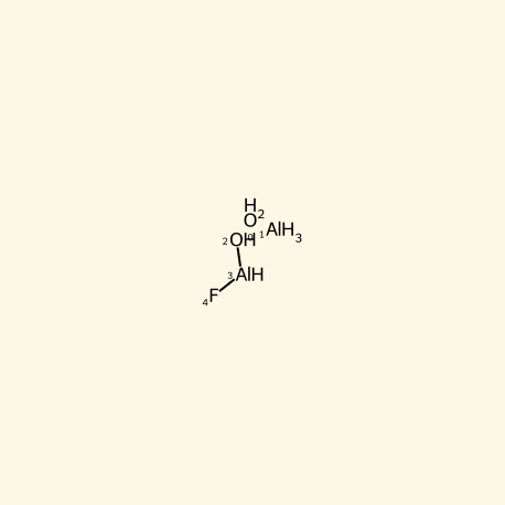 O.[AlH3].[OH][AlH][F]